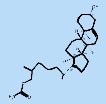 CC(CCCC(C)[C@H]1CC[C@H]2[C@@H]3CC=C4C[C@@H](O)CC[C@]4(C)[C@H]3CC[C@]12C)COC(N)=O